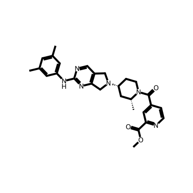 COC(=O)c1cc(C(=O)N2CC[C@@H](N3Cc4cnc(Nc5cc(C)cc(C)c5)nc4C3)C[C@H]2C)ccn1